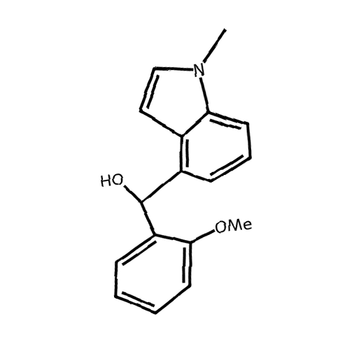 COc1ccccc1C(O)c1cccc2c1ccn2C